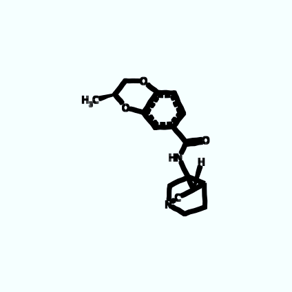 C[C@H]1COc2ccc(C(=O)N[C@H]3CN4CCC3CC4)cc2O1